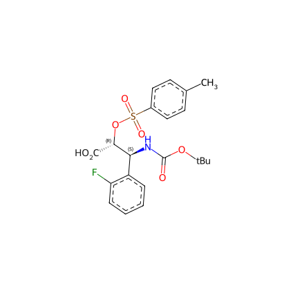 Cc1ccc(S(=O)(=O)O[C@@H](C(=O)O)[C@@H](NC(=O)OC(C)(C)C)c2ccccc2F)cc1